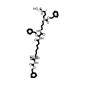 C[C@H](CCN(CCCCNC(=O)[C@H](NC(=O)CCCCCCNC(=NC(=O)O)NC(=O)OCc1ccccc1)OCc1ccccc1)C(=O)OCc1ccccc1)NC(=O)O